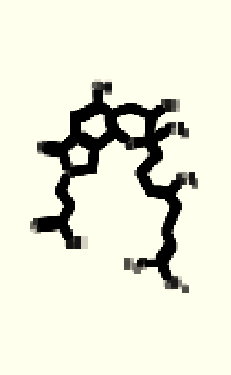 CC(C)=CCC/C(C)=C/CCC1(C)Oc2c(c(O)cc3c2CN(CCC(=O)O)C3=O)CC1O